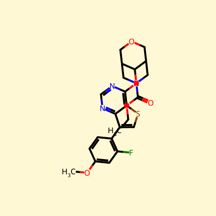 CCOC(=O)N1CC2COCC(C1)C2Oc1ncnc2c(-c3ccc(OC)cc3F)csc12